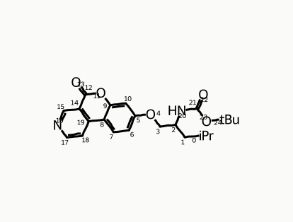 CC(C)CC(COc1ccc2c(c1)oc(=O)c1cnccc12)NC(=O)OC(C)(C)C